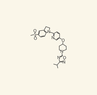 CC(C)c1noc(N2CCC(Oc3ccc(N4CCc5cc(S(C)(=O)=O)ccc54)nc3)CC2)n1